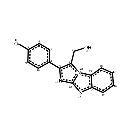 OCc1c(-c2ccc(Cl)cc2)nc2sc3ccccc3n12